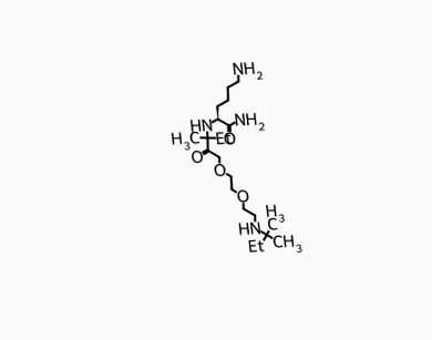 CCC(C)(C)NCCOCCOCC(=O)C(C)(CC)N[C@@H](CCCCN)C(N)=O